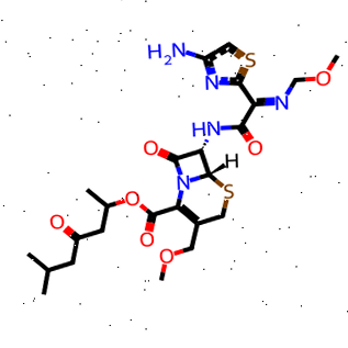 COC/N=C(/C(=O)N[C@H]1C(=O)N2C(C(=O)OC(C)CC(=O)CC(C)C)=C(COC)CS[C@@H]12)c1nc(N)cs1